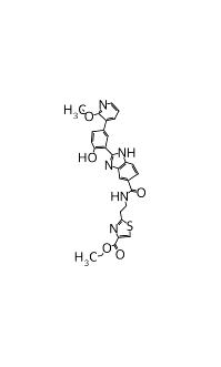 CCOC(=O)c1csc(CCNC(=O)c2ccc3[nH]c(-c4cc(-c5cccnc5OC)ccc4O)nc3c2)n1